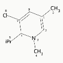 CC1=CN(C)C(C(C)C)C(Cl)=C1